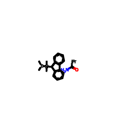 CC(C)C(N)=O.[CH3][Ti]([CH3])[Si](C)(C)C1c2ccccc2-c2ccccc21